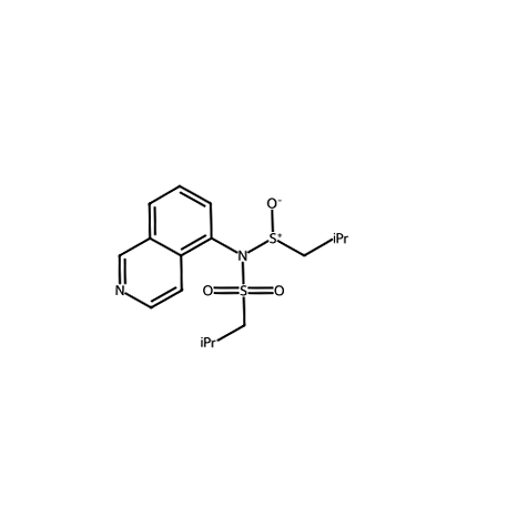 CC(C)C[S+]([O-])N(c1cccc2cnccc12)S(=O)(=O)CC(C)C